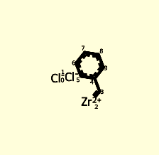 [Cl-].[Cl-].[Zr+2]=[CH]c1ccccc1